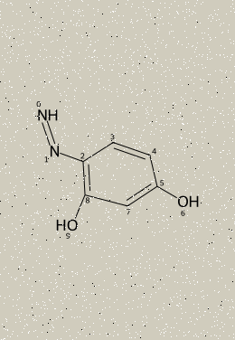 N=Nc1ccc(O)cc1O